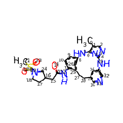 Cc1cnc2nc1Nc1ccc(NC(=O)CC3CCN(S(C)(=O)=O)C3)c(c1)CCc1cncc(c1)N2